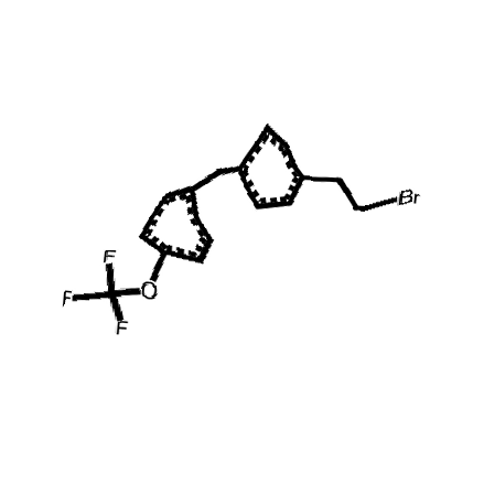 FC(F)(F)Oc1ccc(Cc2ccc(CCBr)cc2)cc1